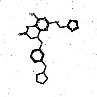 Nc1nc(NCc2ccco2)nc2c1NC(=O)CN2Cc1cccc(CN2CCCC2)c1